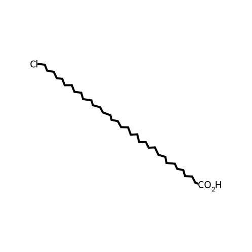 O=C(O)CCCCCCCCCCCCCCCCCCCCCCCCCCCCCCCCCCCl